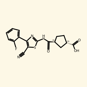 N#Cc1sc(NC(=O)[C@H]2CC[C@H](C(=O)O)C2)nc1-c1ccccc1F